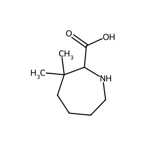 CC1(C)CCCCNC1C(=O)O